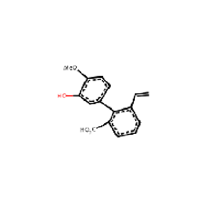 C=Cc1cccc(C(=O)O)c1-c1ccc(OC)c(O)c1